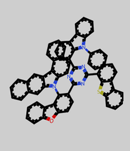 c1ccc(-n2c3ccccc3c3cccc(-c4nc(-c5ccc6oc7ccccc7c6c5-n5c6cc7ccccc7cc6c6c7ccccc7ccc65)nc(-c5cccc6c5sc5ccccc56)n4)c32)cc1